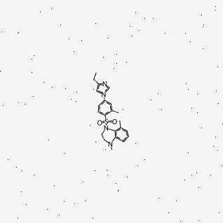 CCc1cn(-c2ccc(S(=O)(=O)N3CCN(C)c4cccc(C)c43)c(C)c2)cn1